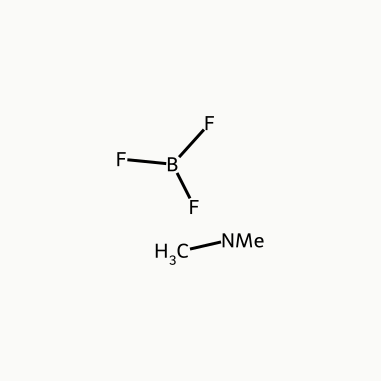 CNC.FB(F)F